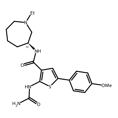 CCN1CCCC[C@H](NC(=O)c2cc(-c3ccc(OC)cc3)sc2NC(N)=O)C1